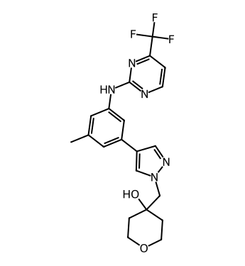 Cc1cc(Nc2nccc(C(F)(F)F)n2)cc(-c2cnn(CC3(O)CCOCC3)c2)c1